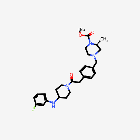 C[C@H]1CN(Cc2ccc(CC(=O)N3CCC(Nc4cccc(F)c4)CC3)cc2)CCN1C(=O)OC(C)(C)C